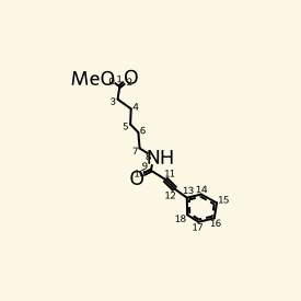 COC(=O)CCCCCNC(=O)C#Cc1ccccc1